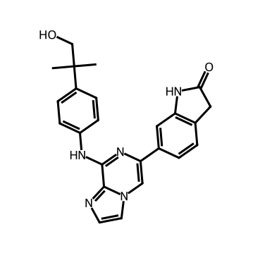 CC(C)(CO)c1ccc(Nc2nc(-c3ccc4c(c3)NC(=O)C4)cn3ccnc23)cc1